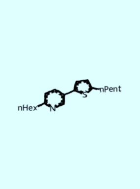 CCCCCCc1ccc(-c2ccc(CCCCC)s2)cn1